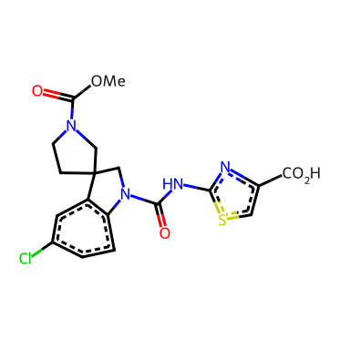 COC(=O)N1CCC2(C1)CN(C(=O)Nc1nc(C(=O)O)cs1)c1ccc(Cl)cc12